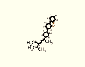 C=C/C(=C\C=C(/C)c1ccc(-c2ccc3c(c2)sc2ccccc23)cc1)C(C)C